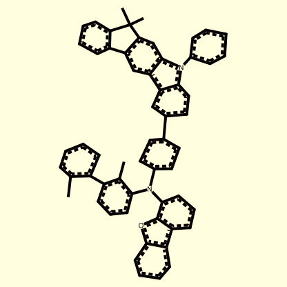 Cc1ccccc1-c1cccc(N(c2ccc(-c3ccc4c(c3)c3cc5c(cc3n4-c3ccccc3)C(C)(C)c3ccccc3-5)cc2)c2cccc3c2oc2ccccc23)c1C